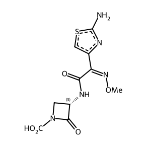 CON=C(C(=O)N[C@H]1CN(C(=O)O)C1=O)c1csc(N)n1